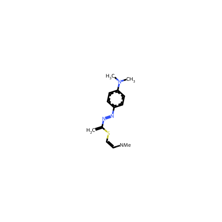 C=C(N=Nc1ccc(N(C)C)cc1)S/C=C\NC